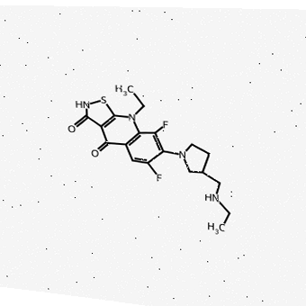 CCNCC1CCN(c2c(F)cc3c(=O)c4c(=O)[nH]sc4n(CC)c3c2F)C1